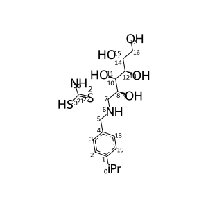 CC(C)c1ccc(CNC[C@H](O)[C@@H](O)[C@H](O)[C@H](O)CO)cc1.NC(=S)S